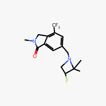 CN1Cc2c(cc(CN3CC(F)C3(C)C)cc2C(F)(F)F)C1=O